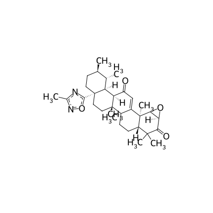 Cc1noc([C@]23CC[C@@H](C)[C@H](C)[C@H]2[C@H]2C(=O)C=C4[C@@]5(C)C6O[C@H]6C(=O)C(C)(C)[C@@H]5CC[C@@]4(C)[C@]2(C)CC3)n1